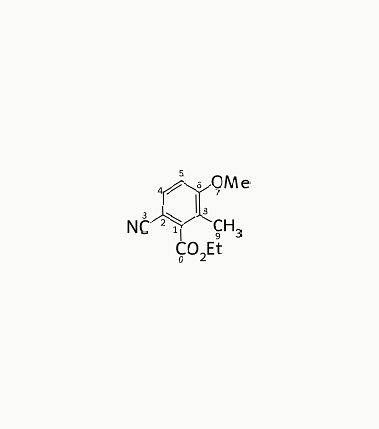 CCOC(=O)c1c(C#N)ccc(OC)c1C